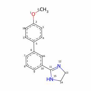 COc1ccc(-c2cccc(C3=NCCN3)c2)cc1